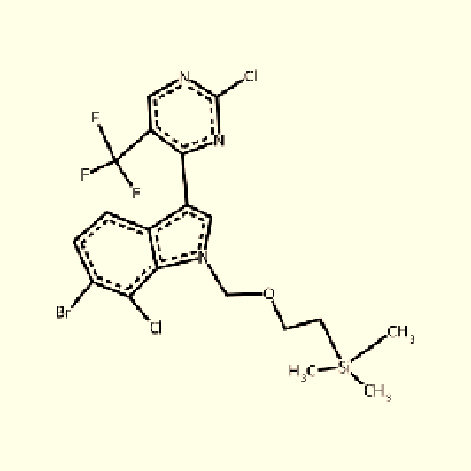 C[Si](C)(C)CCOCn1cc(-c2nc(Cl)ncc2C(F)(F)F)c2ccc(Br)c(Cl)c21